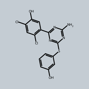 Nc1nc(Sc2cccc(O)c2)nc(-c2cc(O)c(Cl)cc2Cl)n1